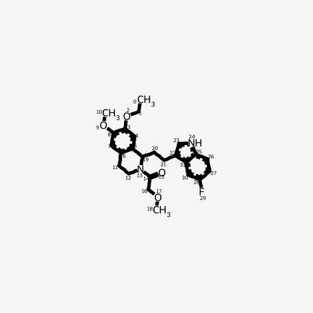 CCOc1cc2c(cc1OC)CCN(C(=O)COC)C2CCc1c[nH]c2ccc(F)cc12